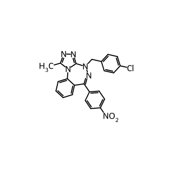 Cc1nnc2n1-c1ccccc1C(c1ccc([N+](=O)[O-])cc1)=NN2Cc1ccc(Cl)cc1